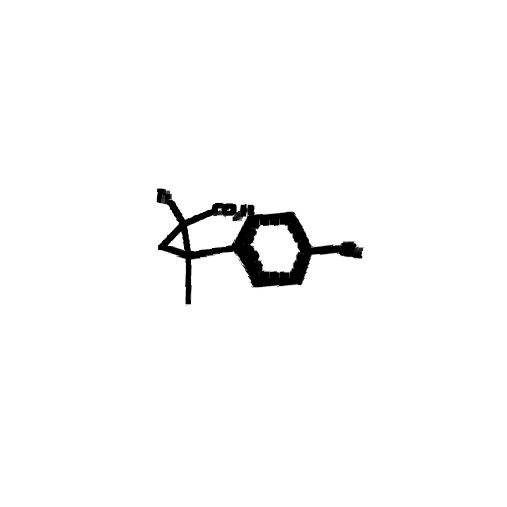 CCC1(C(=O)O)CC1(C)c1ccc(C(C)(C)C)cc1